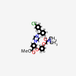 COC(=O)c1ccc(N2CCN(Cc3ccccc3-c3ccc(Cl)cc3)CC2)cc1Oc1cccc(OCC(=O)N(C)C)c1